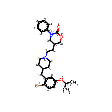 CC(C)Oc1ccc(Br)c(CC2CCN(CCC3COC(=O)N(c4ccccc4)C3)CC2)c1